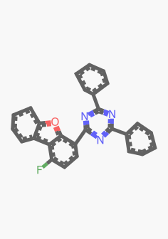 Fc1ccc(-c2nc(-c3ccccc3)nc(-c3ccccc3)n2)c2oc3ccccc3c12